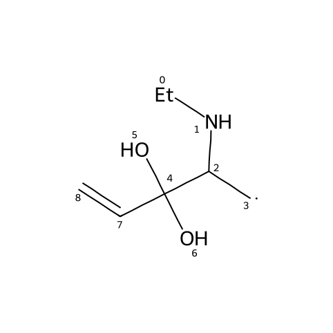 [CH2]CNC([CH2])C(O)(O)C=C